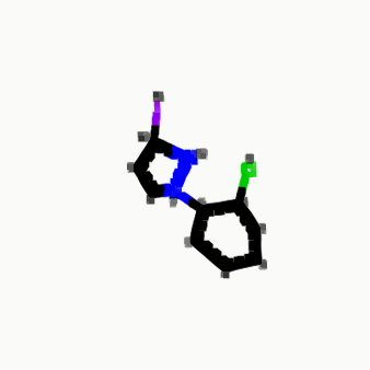 Clc1ccccc1-n1ccc(I)n1